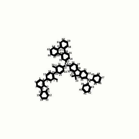 Cc1cc(-c2cccc3c2sc2ccccc23)ccc1-c1ccc(N(c2ccc3c(c2)C(C)(C)c2cc(N(c4ccccc4)c4ccccc4)ccc2-3)c2ccc3c4ccccc4c4ccccc4c3c2)cc1C